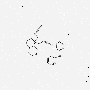 O=C=NCC1(CN=C=O)CCCC2CCCCC21.c1ccc(Oc2ccccc2)cc1